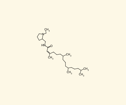 CCN1CCCC1CNC(=O)C=C(C)CCCC(C)CCCC(C)CCCC(C)C